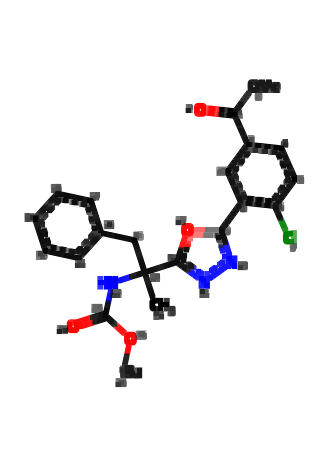 COC(=O)c1ccc(Cl)c(-c2nnc(C(C)(Cc3ccccc3)NC(=O)OC(C)(C)C)o2)c1